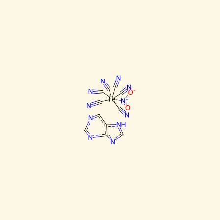 N#[C][Fe]([C]#N)([C]#N)([C]#N)([C]#N)([C]#N)[N+](=O)[O-].c1ncc2[nH]cnc2n1